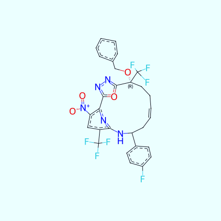 O=[N+]([O-])c1cc(C(F)(F)F)c2nc1-c1nnc(o1)[C@@](OCc1ccccc1)(C(F)(F)F)CCC=CCC(c1ccc(F)cc1)N2